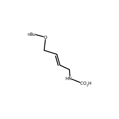 CCCCOCC=CCNC(=O)O